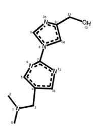 CN(C)Cc1cnc(-n2cnc(CO)c2)nc1